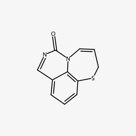 O=c1ncc2cccc3c2n1C=CCS3